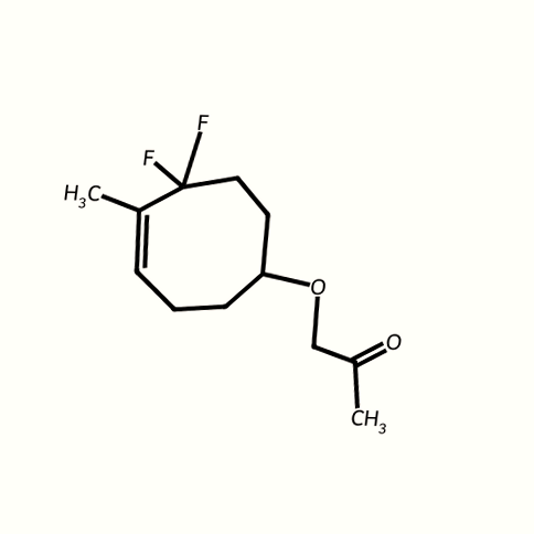 CC(=O)COC1CC/C=C(/C)C(F)(F)CC1